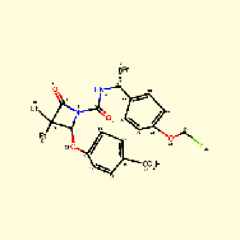 CCC[C@@H](NC(=O)N1C(=O)C(CC)(CC)[C@@H]1Oc1ccc(C(=O)O)cc1)c1ccc(OCF)cc1